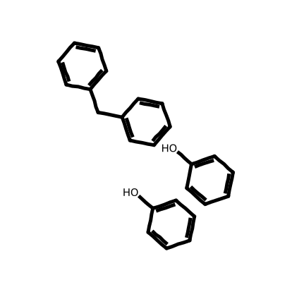 Oc1ccccc1.Oc1ccccc1.c1ccc(Cc2ccccc2)cc1